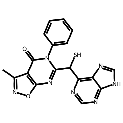 Cc1noc2nc(C(S)c3ncnc4[nH]cnc34)n(-c3ccccc3)c(=O)c12